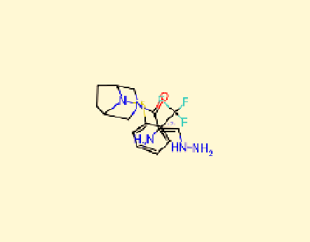 NN/C=C(\N)C(=O)N1CC2CCC(C1)N2Sc1ccccc1C(F)(F)F